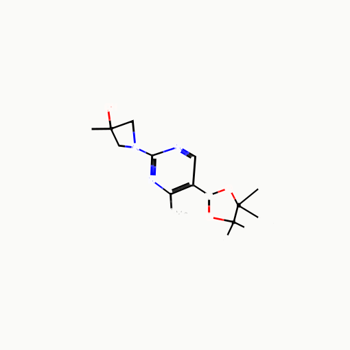 COc1nc(N2CC(C)(O)C2)ncc1B1OC(C)(C)C(C)(C)O1